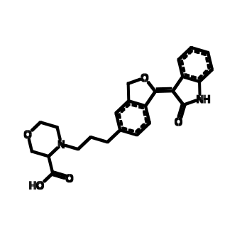 O=C1Nc2ccccc2C1=C1OCc2cc(CCCN3CCOCC3C(=O)O)ccc21